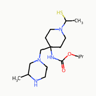 CC1CN(CC2(NC(=O)OC(C)C)CCN(C(C)S)CC2)CCN1